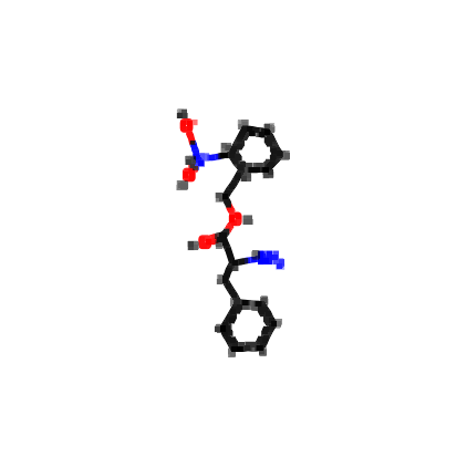 NC(Cc1ccccc1)C(=O)OCc1ccccc1[N+](=O)[O-]